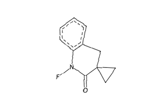 O=C1N(F)c2ccccc2CC12CC2